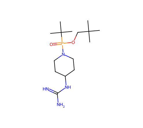 CC(C)(C)COP(=O)(N1CCC(NC(=N)N)CC1)C(C)(C)C